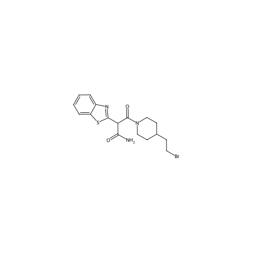 NC(=O)C(C(=O)N1CCC(CCBr)CC1)c1nc2ccccc2s1